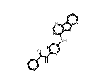 O=C(Nc1ncc(Nc2ncnc3c2sc2ncccc23)cn1)c1ccccc1